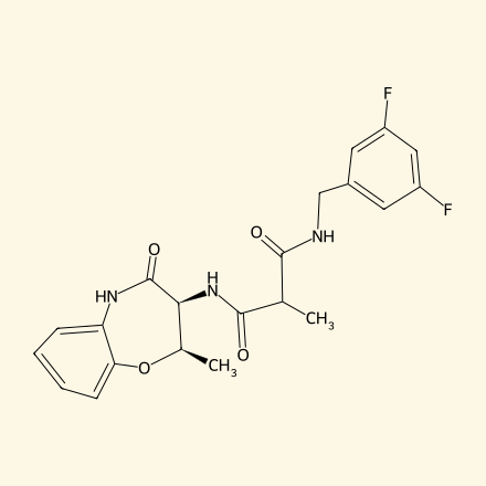 CC(C(=O)NCc1cc(F)cc(F)c1)C(=O)N[C@@H]1C(=O)Nc2ccccc2O[C@@H]1C